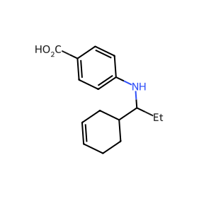 CCC(Nc1ccc(C(=O)O)cc1)C1CC=CCC1